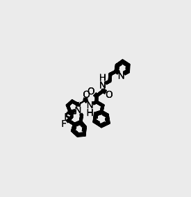 O=C(NCCc1ccccn1)C(=O)C(Cc1ccccc1)NC(=O)[C@@H]1CCC(=O)N1Cc1ccccc1C(F)(F)F